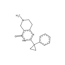 CN1CCc2nc(C3(c4ccccc4)CC3)[nH]c(=O)c2C1